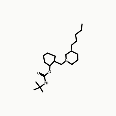 CCCCC[C@H]1CCCN(CC2CCCCC2OC(=O)NC(C)(C)C)C1